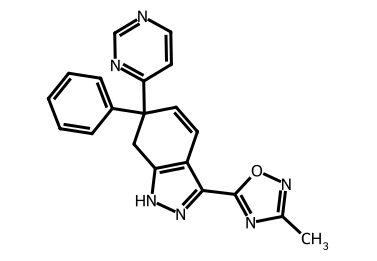 Cc1noc(-c2n[nH]c3c2C=CC(c2ccccc2)(c2ccncn2)C3)n1